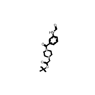 CC(C)(C)OC(=O)CN1CCN(C(=O)c2cccc(NC=O)c2)CC1